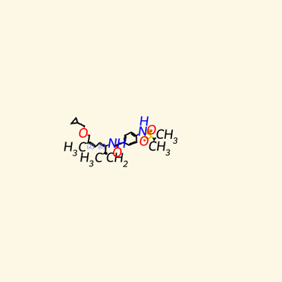 C=C(C)/C(=C\C=C(\C)COCC1CC1)NC(=O)c1ccc(NS(=O)(=O)C(C)C)cc1